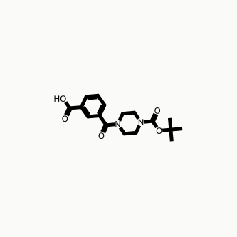 CC(C)(C)OC(=O)N1CCN(C(=O)c2cccc(C(=O)O)c2)CC1